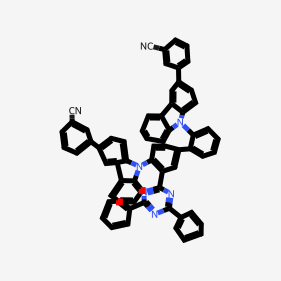 N#Cc1cccc(-c2ccc3c(c2)c2ccccc2n3-c2ccccc2-c2ccc(-n3c4ccccc4c4cc(-c5cccc(C#N)c5)ccc43)c(-c3nc(-c4ccccc4)nc(-c4ccccc4)n3)c2)c1